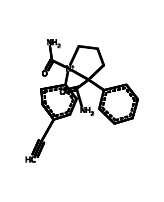 C#Cc1ccc([N+]2(C(N)=O)CCCC2(C(N)=O)c2ccccc2)cc1